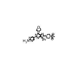 CC(C)n1c(N2CCN(S(C)(=O)=O)CC2)nc2c(N3CCOCC3)nc(-c3cnc(N)nc3)nc21